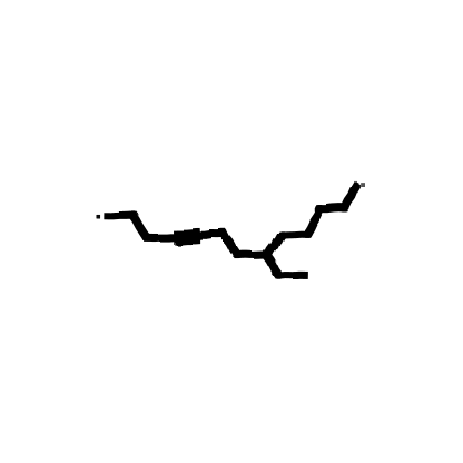 [CH2]CCC#CCCC(CC)CCCC[CH2]